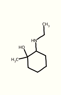 CCNC1CCCCC1(C)O